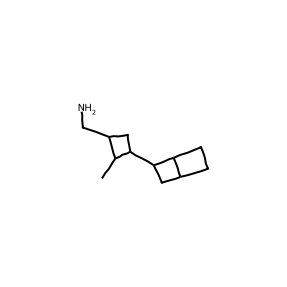 CC1C(CN)CC1C1CC2CCC21